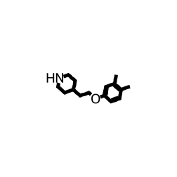 Cc1ccc(OCCC2CCNCC2)cc1C